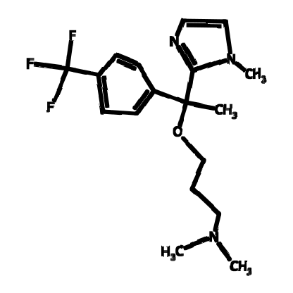 CN(C)CCCOC(C)(c1ccc(C(F)(F)F)cc1)c1nccn1C